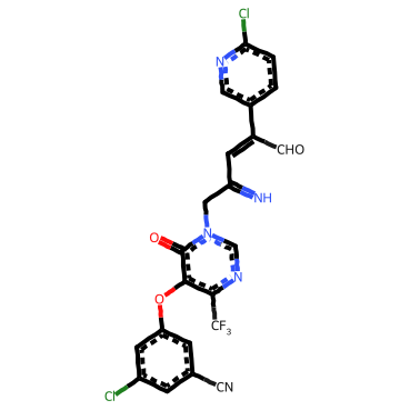 N#Cc1cc(Cl)cc(Oc2c(C(F)(F)F)ncn(CC(=N)/C=C(\C=O)c3ccc(Cl)nc3)c2=O)c1